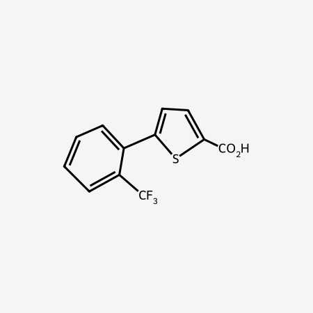 O=C(O)c1ccc(-c2ccccc2C(F)(F)F)s1